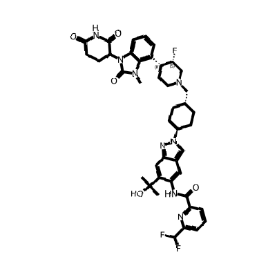 Cn1c(=O)n(C2CCC(=O)NC2=O)c2cccc([C@H]3CCN(C[C@H]4CC[C@H](n5cc6cc(NC(=O)c7cccc(C(F)F)n7)c(C(C)(C)O)cc6n5)CC4)C[C@H]3F)c21